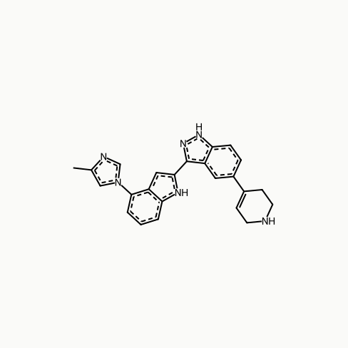 Cc1cn(-c2cccc3[nH]c(-c4n[nH]c5ccc(C6=CCNCC6)cc45)cc23)cn1